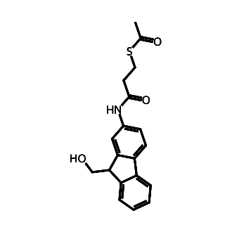 CC(=O)SCCC(=O)Nc1ccc2c(c1)C(CO)c1ccccc1-2